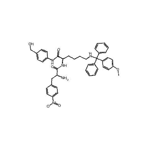 COc1ccc(C(NCCCCC(NC(=O)C(N)Cc2ccc([N+](=O)[O-])cc2)C(=O)Nc2ccc(CO)cc2)(c2ccccc2)c2ccccc2)cc1